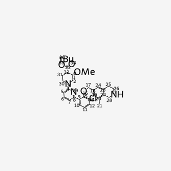 CO[C@@H]1CN(c2cccc(-c3cccc(Cl)c3OCc3cc(C)c4c(c3)CCNC4)n2)CC[C@@H]1C(=O)OC(C)(C)C